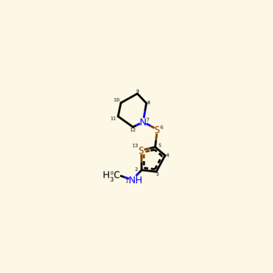 CNc1ccc(SN2CCCCC2)s1